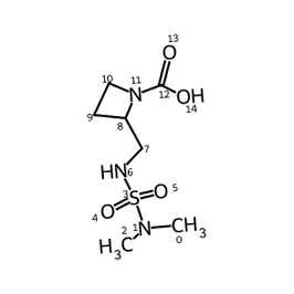 CN(C)S(=O)(=O)NCC1CCN1C(=O)O